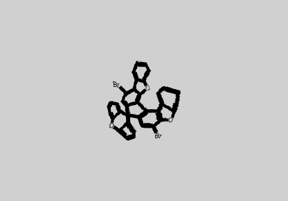 Brc1cc2c(c3c1oc1ccccc13)-c1c(cc(Br)c3c1oc1ccccc13)C21c2ccccc2Oc2ccccc21